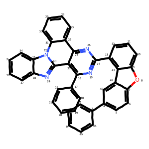 c1ccc(-c2ccc3oc4cccc(-c5nc(-c6ccccc6)c6c(n5)c5ccccc5n5c7ccccc7nc65)c4c3c2)cc1